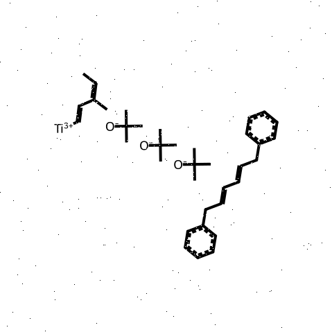 C(C=CCc1ccccc1)=CCc1ccccc1.CC(C)(C)[O-].CC(C)(C)[O-].CC(C)(C)[O-].CC=C(C)C=[CH][Ti+3]